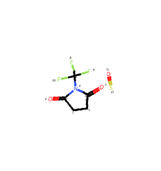 O=C1CCC(=O)N1C(F)(F)F.O=S